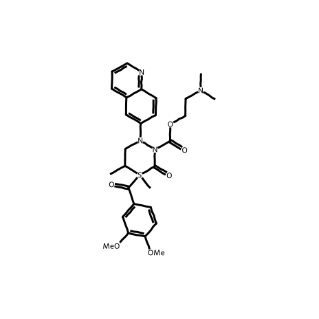 COc1ccc(C(=O)S2(C)C(=O)N(C(=O)OCCN(C)C)N(c3ccc4ncccc4c3)CC2C)cc1OC